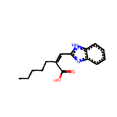 CCCCC/C(=C/c1nc2ccccc2[nH]1)C(=O)O